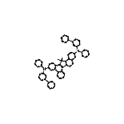 CC1(C)c2c(ccc3cc(N(c4ccccc4)c4cccc(-c5ccccc5)c4)ccc23)-c2c1c1ccc(N(c3ccccc3)c3cccc(-c4ccccc4)c3)cc1c1ccccc21